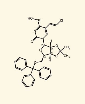 CC1(C)O[C@@H]2[C@H](O1)[C@@H](COC(c1ccccc1)(c1ccccc1)c1ccccc1)O[C@H]2n1cc(C=CCl)c(NO)nc1=O